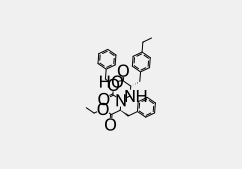 CCOC(=O)[C@H](Cc1ccccc1)N(N[C@@H](Cc1ccc(CC)cc1)C(=O)O)C(=O)OCc1ccccc1